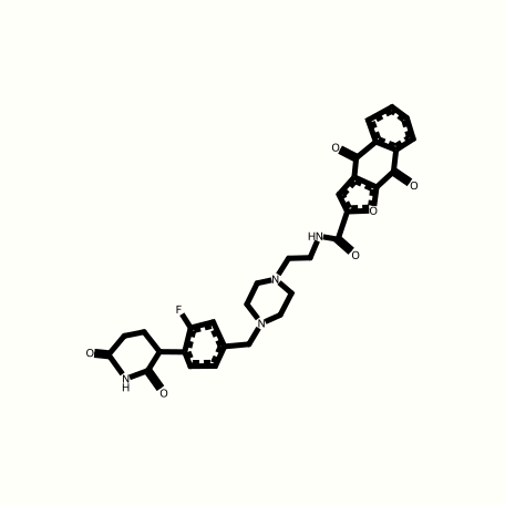 O=C1CCC(c2ccc(CN3CCN(CCNC(=O)c4cc5c(o4)C(=O)c4ccccc4C5=O)CC3)cc2F)C(=O)N1